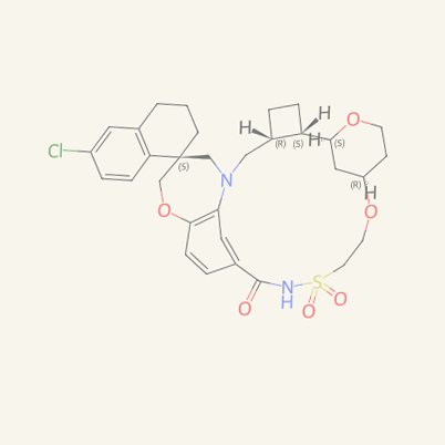 O=C1NS(=O)(=O)CCO[C@@H]2CCO[C@@H](C2)[C@H]2CC[C@H]2CN2C[C@@]3(CCCc4cc(Cl)ccc43)COc3ccc1cc32